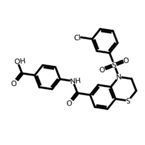 O=C(O)c1ccc(NC(=O)c2ccc3c(c2)N(S(=O)(=O)c2cccc(Cl)c2)CCS3)cc1